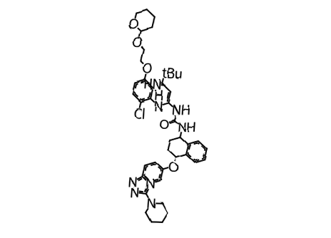 CC(C)(C)C(=N)/C=C(/NC(=O)NC1CC[C@@H](Oc2ccc3nnc(N4CCCCC4)n3c2)c2ccccc21)Nc1cc(OCCOC2CCCCO2)ccc1Cl